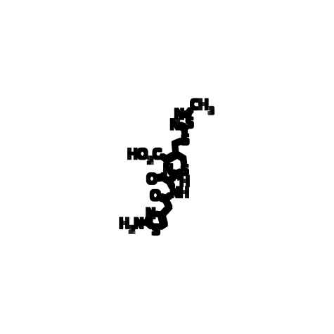 Cc1nnc(SCC2=C(C(=O)O)N3C(=O)C(NC(=O)Cc4csc(N)n4)[C@H]3SC2)s1